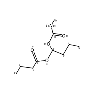 CCCC(=O)OC(CCC)OC(=O)NC